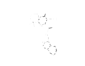 CC1(C)OCCn2c1nc(C(=O)NCc1noc3ccccc13)c(O)c2=O